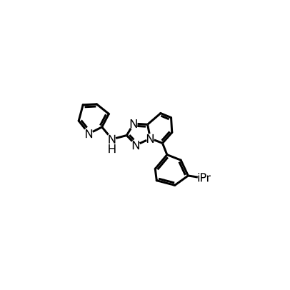 CC(C)c1cccc(-c2cccc3nc(Nc4ccccn4)nn23)c1